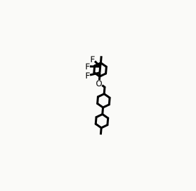 CC1CCC(C2CCC(COC34CCC(C)(CC3)C(F)(F)C4F)CC2)CC1